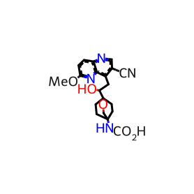 COc1ccc2ncc(C#N)c(CC(O)C34CCC(NC(=O)O)(CC3)CO4)c2n1